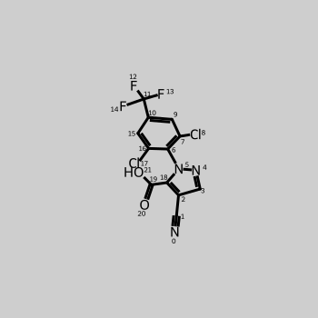 N#Cc1cnn(-c2c(Cl)cc(C(F)(F)F)cc2Cl)c1C(=O)O